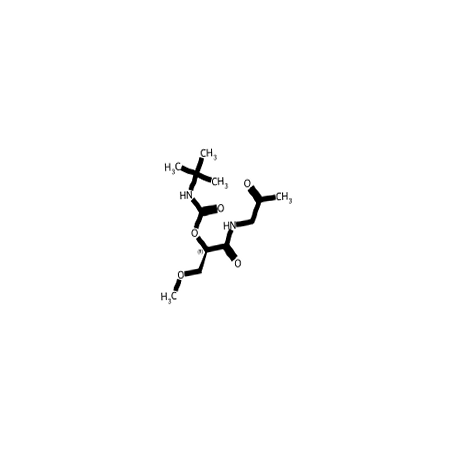 COC[C@@H](OC(=O)NC(C)(C)C)C(=O)NCC(C)=O